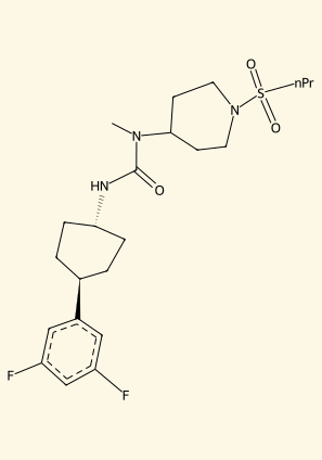 CCCS(=O)(=O)N1CCC(N(C)C(=O)N[C@H]2CC[C@H](c3cc(F)cc(F)c3)CC2)CC1